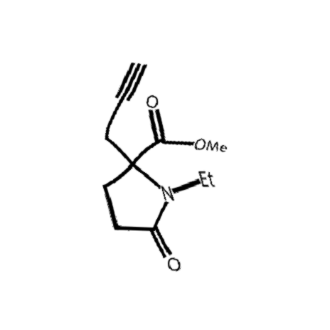 C#CCC1(C(=O)OC)CCC(=O)N1CC